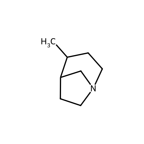 CC1CCN2CCC1C2